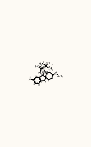 COC1CCC2(CC1)Cc1ccc(Br)cc1[C@]2(CC(=O)O)N[S+]([O-])C(C)(C)C